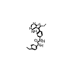 CCc1ccc(NC(=O)Nc2ccc(-c3c(CC)sc4ncnc(N)c34)cc2)cc1